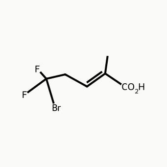 CC(=CCC(F)(F)Br)C(=O)O